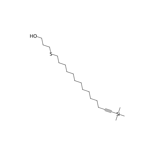 C[Si](C)(C)C#CCCCCCCCCCCCCSCCCO